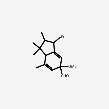 COC1(C=O)C=C(C)C2C(=C1)C(C(C)C)C(C)C2(C)C